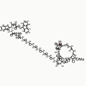 COc1cc2cc(c1Cl)N(C)C(=O)C[C@H](OC(=O)[C@H](C)N(C)C(=O)CCOCCOCCOCCOCCOCCOCCNC(=O)CNC(=O)CCn1c(CN(C)N(C)C(=O)OCC3c4ccccc4-c4ccccc43)cc3ccccc31)[C@]1(C)OC1[C@H](C)[C@@H]1C[C@H](C/C=C/C=C(\C)C2)NC(=O)O1